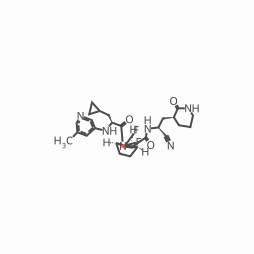 Cc1cncc(N[C@@H](CC2CC2)C(=O)N2[C@@H]3CC[C@H]([C@@H]2C(=O)N[C@H](C#N)C[C@@H]2CCCNC2=O)C(F)(F)C3)c1